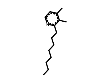 CCCCCCCCc1nccc(C)c1C